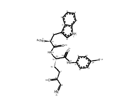 CC(=O)N[C@@H](Cc1c[nH]c2ccccc12)C(=O)N[C@@H](CCC(=O)C=N)C(=O)Nc1ccc(F)cc1